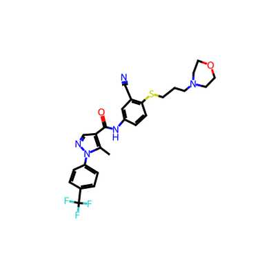 Cc1c(C(=O)Nc2ccc(SCCCN3CCOCC3)c(C#N)c2)cnn1-c1ccc(C(F)(F)F)cc1